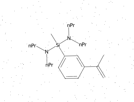 C=C(C)c1cccc([Si](C)(N(CCC)CCC)N(CCC)CCC)c1